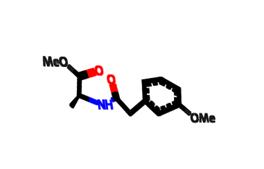 COC(=O)[C@H](C)NC(=O)Cc1cccc(OC)c1